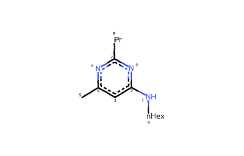 CCCCCCNc1cc(C)nc(C(C)C)n1